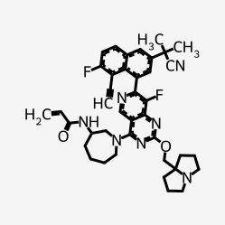 C#Cc1c(F)ccc2cc(C(C)(C)C#N)cc(-c3ncc4c(N5CCCCC(NC(=O)C=C)C5)nc(OCC56CCCN5CCC6)nc4c3F)c12